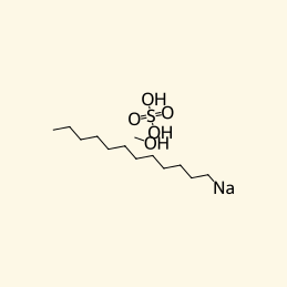 CCCCCCCCCCC[CH2][Na].CO.O=S(=O)(O)O